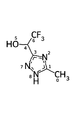 Cc1nc(C(O)C(F)(F)F)n[nH]1